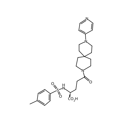 Cc1ccc(S(=O)(=O)N[C@@H](CCC(=O)N2CCC3(CC2)CCN(c2ccncc2)CC3)C(=O)O)cc1